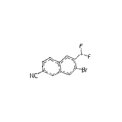 N#Cc1ccc2cc([C](F)F)c(Br)cc2c1